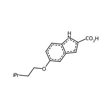 CC(C)CCOc1ccc2[nH]c(C(=O)O)cc2c1